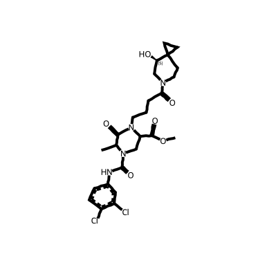 COC(=O)C1CN(C(=O)Nc2ccc(Cl)c(Cl)c2)C(C)C(=O)N1CCCC(=O)N1CCC2(CC2)[C@H](O)C1